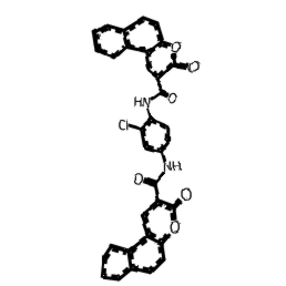 O=C(Nc1ccc(NC(=O)c2cc3c(ccc4ccccc43)oc2=O)c(Cl)c1)c1cc2c(ccc3ccccc32)oc1=O